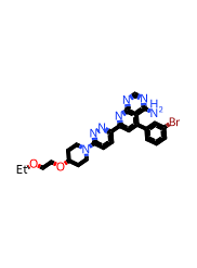 CCOCCOC1CCN(c2ccc(-c3cc(-c4cccc(Br)c4)c4c(N)ncnc4n3)nn2)CC1